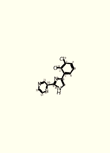 Clc1cccc(-c2c[nH]c(-c3cnccn3)n2)c1Cl